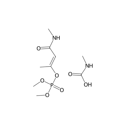 CNC(=O)/C=C(\C)OP(=O)(OC)OC.CNC(=O)O